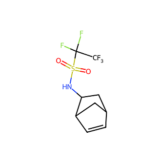 O=S(=O)(NC1CC2C=CC1C2)C(F)(F)C(F)(F)F